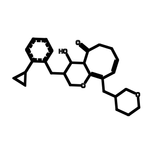 O=C1CCC=CC(CC2CCCOC2)=C2OCC(Cc3ccccc3C3CC3)C(O)C12